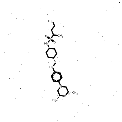 CCCC(C)S(=O)(=O)N[C@H]1CC[C@H](CNc2ccc(N3C[C@@H](C)O[C@@H](C)C3)cc2)CC1